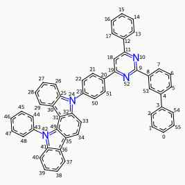 c1ccc(-c2cccc(-c3nc(-c4ccccc4)cc(-c4ccc(-n5c6ccccc6c6c5ccc5c7ccccc7n(-c7ccccc7)c56)cc4)n3)c2)cc1